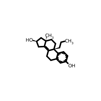 CCC[C@]12CC[C@]3(C)C[C@H](O)CC3=C1CCc1cc(O)ccc12